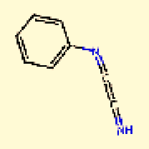 N=C=C=Nc1ccccc1